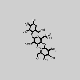 CC(=O)NC1C(OC2C(CO)OC(O)C(N)C2O)OC(CO)C(OC2OC(CO)C(O)C(O)C2N)C1O.O